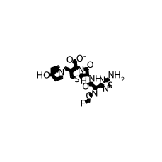 Nc1nc(/C(=N/OCF)C(=O)N[C@@H]2C(=O)N3C(C(=O)[O-])=C(C[N+]45CCC(O)(CC4)C5)CS[C@@H]23)ns1